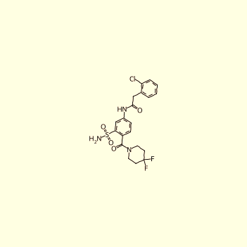 NS(=O)(=O)c1cc(NC(=O)Cc2ccccc2Cl)ccc1C(=O)N1CCC(F)(F)CC1